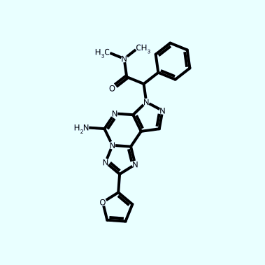 CN(C)C(=O)C(c1ccccc1)n1ncc2c1nc(N)n1nc(-c3ccco3)nc21